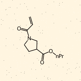 C=CC(=O)N1CCC(C(=O)OCCC)C1